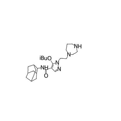 CC(C)COc1c(C(=O)NC2C3CC4CC(C3)CC2C4)cnn1CCN1CCCNCC1